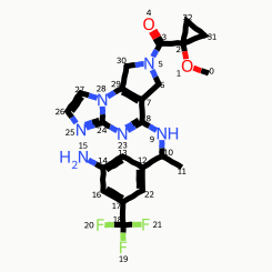 COC1(C(=O)N2Cc3c(NC(C)c4cc(N)cc(C(F)(F)F)c4)nc4nccn4c3C2)CC1